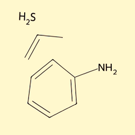 C=CC.Nc1ccccc1.S